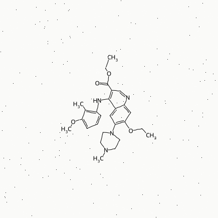 CCOC(=O)c1cnc2cc(OCC)c(N3CCN(C)CC3)cc2c1Nc1cccc(OC)c1C